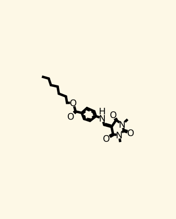 CCCCCCCOC(=O)c1ccc(NC=C2C(=O)N(C)C(=O)N(C)C2=O)cc1